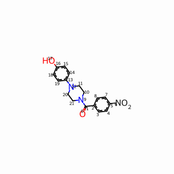 O=C(c1ccc([N+](=O)[O-])cc1)N1CCN(c2ccc(O)cc2)CC1